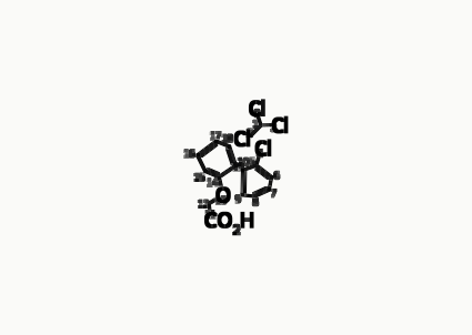 ClC(Cl)Cl.Clc1ccccc1.O=C(O)COc1ccccc1